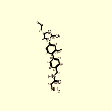 CCC[C@H]1CN(c2ccc(-c3ccc(CNC(=O)CN)cc3)c(F)c2)C(=O)O1